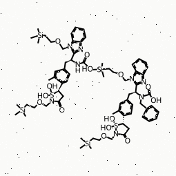 Cc1cc(C[C@@H](c2nc3ccccc3n2COCC[Si](C)(C)C)N(Cc2ccccc2)C(=O)O)ccc1[C@@H]1CC(=O)N(COCC[Si](C)(C)C)S1(O)O.Cc1cc(C[C@H](NC(=O)O)c2nc3ccccc3n2COCC[Si](C)(C)C)ccc1[C@H]1CC(=O)N(COCC[Si](C)(C)C)S1(O)O